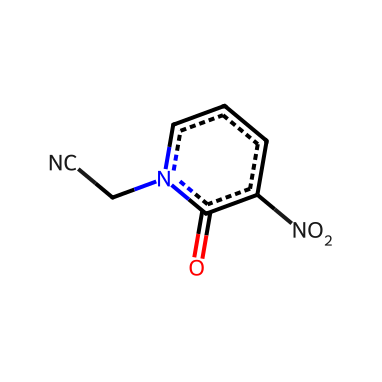 N#CCn1cccc([N+](=O)[O-])c1=O